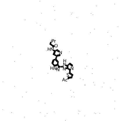 CC(=O)c1ccc(-c2nccc3[nH]c(-c4n[nH]c5ccc(-c6cncc(NC(=O)CC(C)C)c6)cc45)nc23)s1